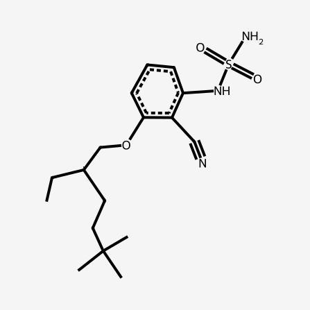 CC[C](CCC(C)(C)C)COc1cccc(NS(N)(=O)=O)c1C#N